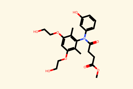 COC(=O)CCC(=O)N(c1cccc(O)c1)c1c(C)c(OCCO)cc(OCCO)c1C